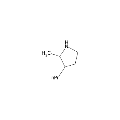 CCCC1CCNC1C